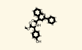 COC(=O)C(NC(=O)c1cc(-c2ccccc2)nc2ccccc12)c1ccc(O)cc1